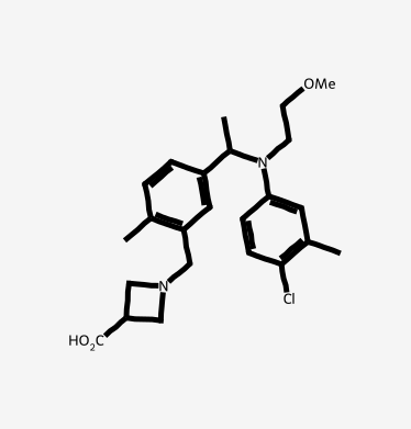 COCCN(c1ccc(Cl)c(C)c1)C(C)c1ccc(C)c(CN2CC(C(=O)O)C2)c1